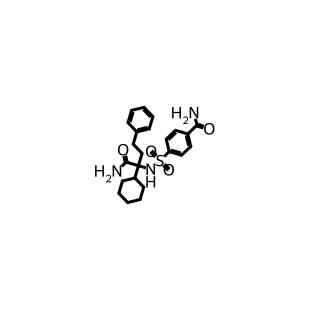 NC(=O)c1ccc(S(=O)(=O)NC(CCc2ccccc2)(C(N)=O)C2CCCCC2)cc1